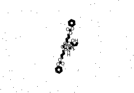 CCC(C(=O)O)N(C)C(=N)NP(=O)(OCCCCOC(=O)OC1CCCCC1)OCCCCOC(=O)OC1CCCCC1